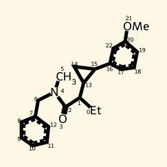 CCC(C(=O)N(C)Cc1ccccc1)C1CC1c1cccc(OC)c1